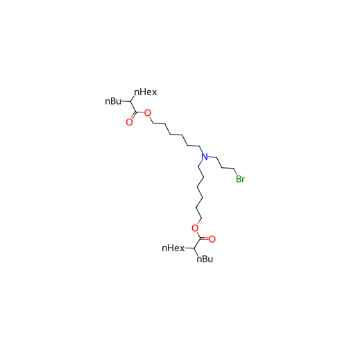 CCCCCCC(CCCC)C(=O)OCCCCCCN(CCCBr)CCCCCCOC(=O)C(CCCC)CCCCCC